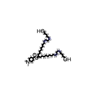 CN(C)C1CCC(C(=O)OC(CCCCCCCC/C=C\C/C=C\CCCCO)CCCCCCCC/C=C\C/C=C\CCCCO)CC1